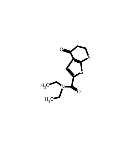 CCN(CC)C(=O)c1cc2c(s1)SCCC2=O